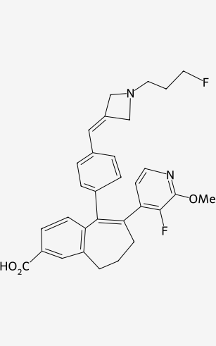 COc1nccc(C2=C(c3ccc(C=C4CN(CCCF)C4)cc3)c3ccc(C(=O)O)cc3CCC2)c1F